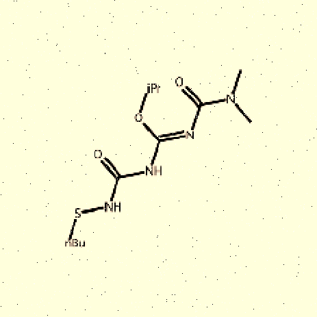 CCCCSNC(=O)NC(=NC(=O)N(C)C)OC(C)C